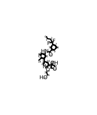 CCCC(F)(F)c1cccc(C(=O)Nc2cnc(C)c(-c3cnc(OCCO)c(C4(O)COC4)c3)c2)c1